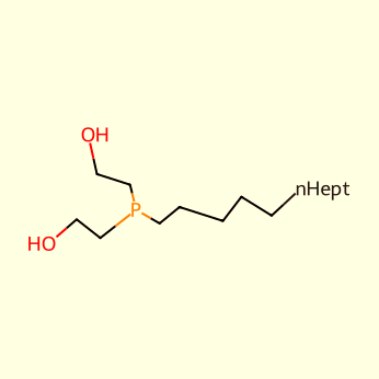 CCCCCCCCCCCCP(CCO)CCO